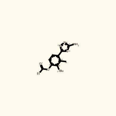 CCC(=O)Oc1ccc(-c2nnc(N)s2)c(C)c1C(C)(C)C